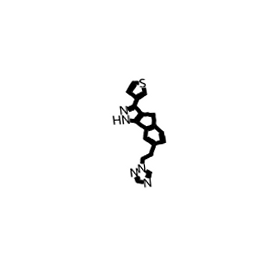 c1ncn(CCc2ccc3c(c2)-c2[nH]nc(-c4ccsc4)c2C3)n1